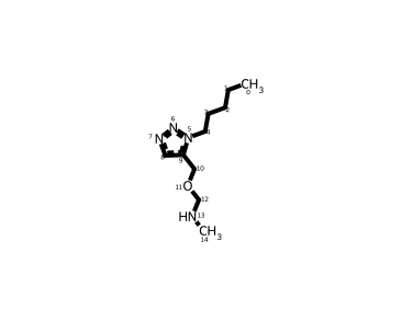 CCCCCn1nncc1COCNC